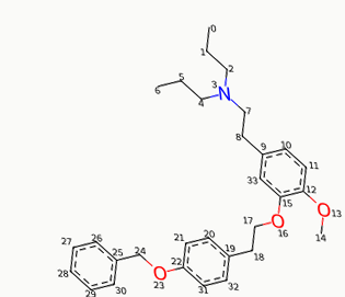 CCCN(CCC)CCc1ccc(OC)c(OCCc2ccc(OCc3ccccc3)cc2)c1